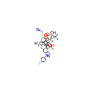 CC(C)C(=O)OC1(C(=O)SCC#N)CC[C@@]2(C)C3CCC4=Cc5c(cnn5-c5ccc(F)cc5)CC4(C)[C@@]3(C)[C@@H](O)CC12C